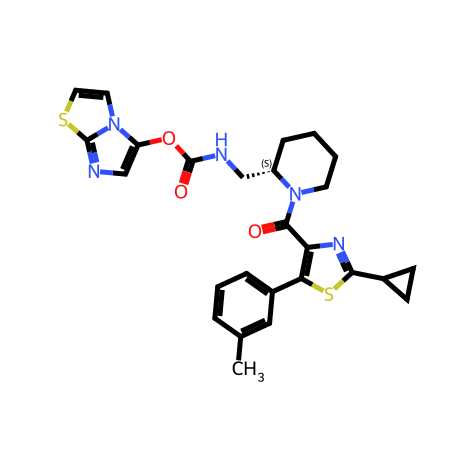 Cc1cccc(-c2sc(C3CC3)nc2C(=O)N2CCCC[C@H]2CNC(=O)Oc2cnc3sccn23)c1